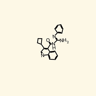 NC(=Nc1ccccc1)NC(=O)c1c(C2CCC2)cnc2ccccc12